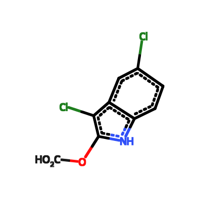 O=C(O)Oc1[nH]c2ccc(Cl)cc2c1Cl